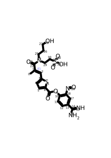 C/C(=C\c1ccc(C(=O)Oc2ccc(C(=N)N)cc2N=O)s1)C(=O)N(CCCO)CCS(=O)(=O)O